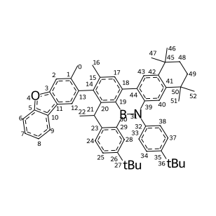 Cc1cc2oc3ccccc3c2cc1-c1c(C)cc2c3c1C(C)c1ccc(C(C)(C)C)cc1B3N(c1ccc(C(C)(C)C)cc1)c1cc3c(cc1-2)C(C)(C)CCC3(C)C